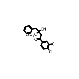 CCOC(=O)C(C#N)(CC(=O)c1ccc(Cl)c(Cl)c1)Cc1ccccc1